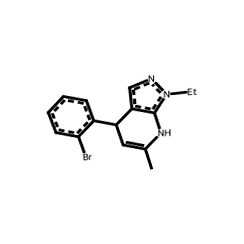 CCn1ncc2c1NC(C)=CC2c1ccccc1Br